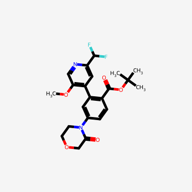 COc1cnc(C(F)F)cc1-c1cc(N2CCOCC2=O)ccc1C(=O)OC(C)(C)C